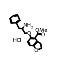 COC(=O)c1c(OCC(N)Cc2ccccc2)ccc2c1CCO2.Cl